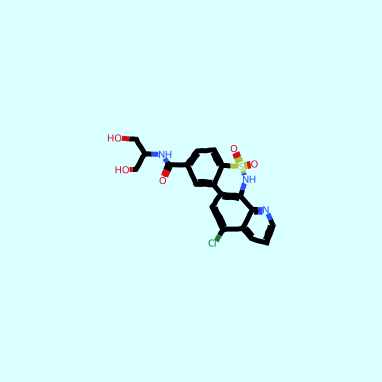 O=C(NC(CO)CO)c1ccc2c(c1)-c1cc(Cl)c3cccnc3c1NS2(=O)=O